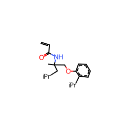 C=CC(=O)NC(C)(COc1ccccc1C(C)C)CC(C)C